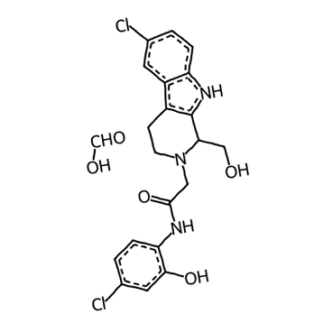 O=C(CN1CCc2c([nH]c3ccc(Cl)cc23)C1CO)Nc1ccc(Cl)cc1O.O=CO